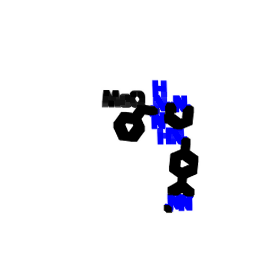 COC(c1ccccc1)c1nc2c(NCc3ccc(-c4cnn(C)c4)cc3)ccnc2[nH]1